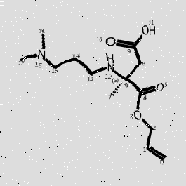 C=CCOC(=O)[C@](C)(CC(=O)O)NCCCN(C)C